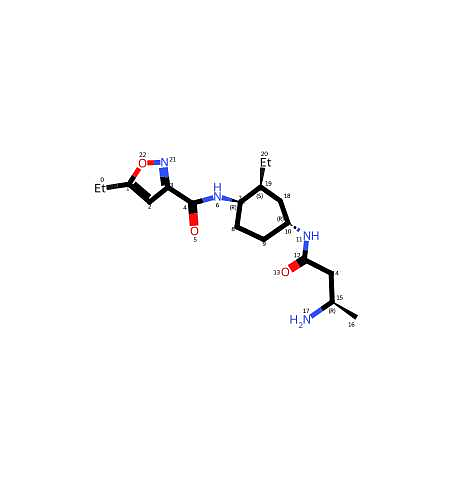 CCc1cc(C(=O)N[C@@H]2CC[C@@H](NC(=O)C[C@@H](C)N)C[C@@H]2CC)no1